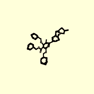 Cc1c(-c2ccc3c(c2)cc2n3CC(C)C2)nc(OCc2ccccc2)c(C(=O)OCc2ccccc2)c1OCc1ccccc1